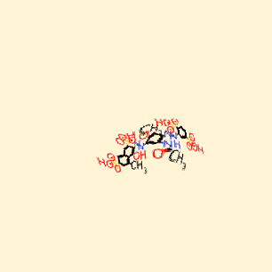 COc1cc(N=Nc2cc(S(=O)(=O)O)ccc2S(=O)(=O)O)c(NC(C)=O)cc1N=Nc1c(S(=O)(=O)O)cc2cc(S(=O)(=O)O)cc(C)c2c1O